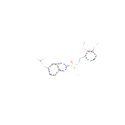 COc1ccnc(CNS(=O)(=O)c2nc3cc(OC(F)F)ccc3[nH]2)c1OC.[Na]